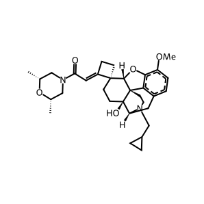 COc1ccc2c3c1O[C@H]1[C@@]4(CC/C4=C\C(=O)N4C[C@@H](C)O[C@@H](C)C4)CC[C@@]4(O)[C@@H](C2)N(CC2CC2)CC[C@]314